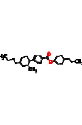 CCCCC1CC[C@@H](c2ccc(C(=O)OC3CCC(CCC)CC3)cc2)[C@H](C)C1